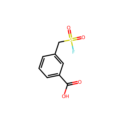 O=C(O)c1cccc(CS(=O)(=O)F)c1